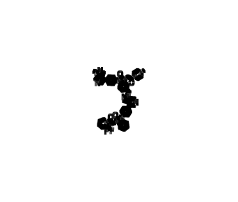 CN1CCN(C(=O)Cn2c(=O)n(-c3ccc(-c4cncc5c4cnn5C)cc3)c3ccc(Cn4ncc5c(-c6ccc(-n7c(=O)n(CC(=O)N8CCCCC8C(F)(F)F)c8ccccc87)cc6)cncc54)cc32)CC1